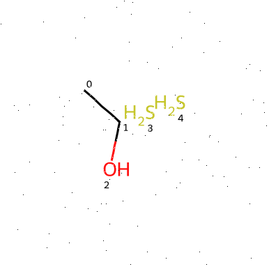 CCO.S.S